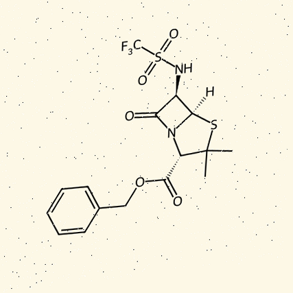 CC1(C)S[C@@H]2[C@H](NS(=O)(=O)C(F)(F)F)C(=O)N2[C@H]1C(=O)OCc1ccccc1